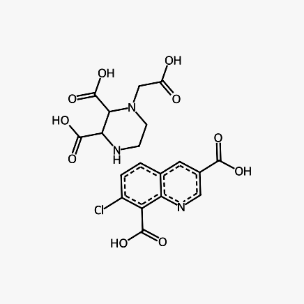 O=C(O)CN1CCNC(C(=O)O)C1C(=O)O.O=C(O)c1cnc2c(C(=O)O)c(Cl)ccc2c1